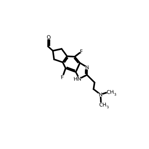 CN(C)CCc1nc2c(F)c3c(c(F)c2[nH]1)CC(C=O)C3